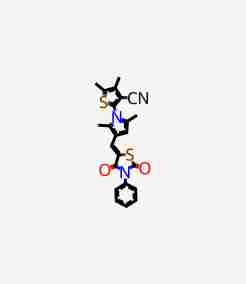 Cc1sc(-n2c(C)cc(C=C3SC(=O)N(c4ccccc4)C3=O)c2C)c(C#N)c1C